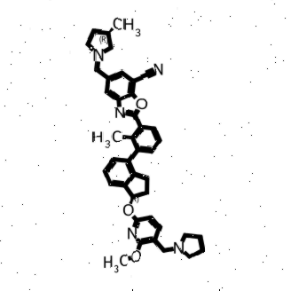 COc1nc(O[C@@H]2CCc3c(-c4cccc(-c5nc6cc(CN7CC[C@@H](C)C7)cc(C#N)c6o5)c4C)cccc32)ccc1CN1CCCC1